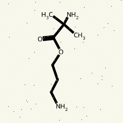 CC(C)(N)C(=O)OCCCN